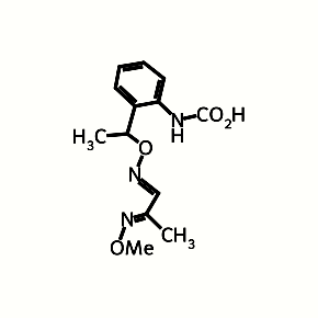 CON=C(C)C=NOC(C)c1ccccc1NC(=O)O